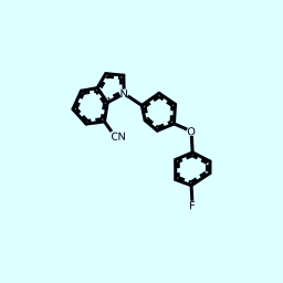 N#Cc1cccc2ccn(-c3ccc(Oc4ccc(F)cc4)cc3)c12